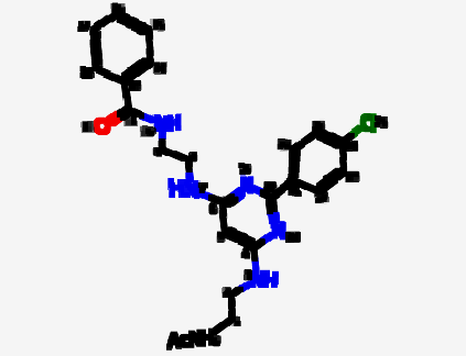 CC(=O)NCCNc1cc(NCCNC(=O)c2ccccc2)nc(-c2ccc(Cl)cc2)n1